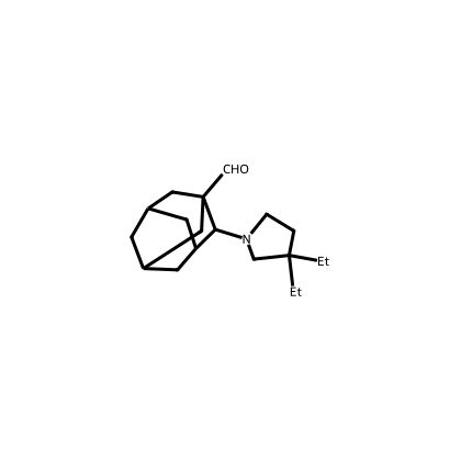 CCC1(CC)CCN(C2C3CC4CC(C3)CC2(C=O)C4)C1